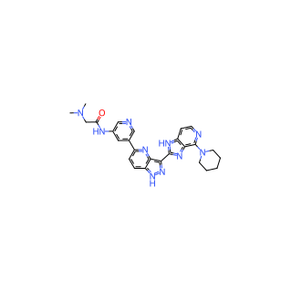 CN(C)CC(=O)Nc1cncc(-c2ccc3[nH]nc(-c4nc5c(N6CCCCC6)nccc5[nH]4)c3n2)c1